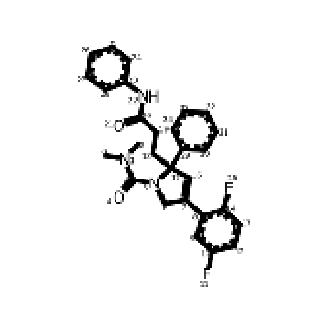 CN(C)C(=O)N1CC(c2cc(F)ccc2F)=CC1(CCC(=O)Nc1ccccc1)c1ccccc1